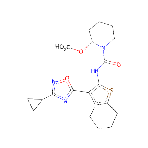 O=C(O)O[C@@H]1CCCCN1C(=O)Nc1sc2c(c1-c1nc(C3CC3)no1)CCCC2